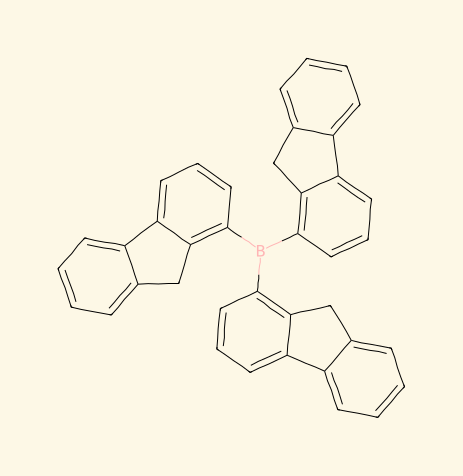 c1ccc2c(c1)Cc1c(B(c3cccc4c3Cc3ccccc3-4)c3cccc4c3Cc3ccccc3-4)cccc1-2